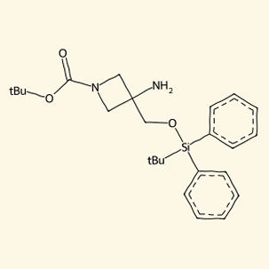 CC(C)(C)OC(=O)N1CC(N)(CO[Si](c2ccccc2)(c2ccccc2)C(C)(C)C)C1